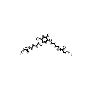 C=CC(=O)NCCCCOc1cc(OCCCCNC(=O)C=C)c(Cl)cc1Cl